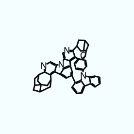 c1ccc(-n2c3ccccc3c3cccc(-c4cc5c6c7c(ncc6n6c8cnc9c(c8c(c4)c56)C4CC5CC6CC9CC65C4)C4CC5CC(C4)CC7C5)c32)cc1